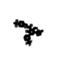 CCc1c(-c2nc(C)co2)cn(-c2cccc(C(F)(F)F)c2)c(=O)c1C(=O)NCc1ccc(S(C)(=O)=O)cc1